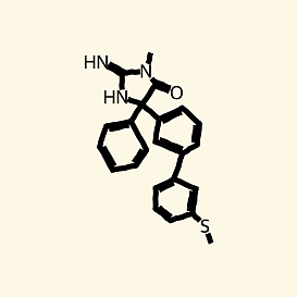 CSc1cccc(-c2cccc(C3(c4ccccc4)NC(=N)N(C)C3=O)c2)c1